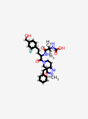 CN1N=C2CCN(C(=O)C(CCc3ccc(CO)cc3F)NC(=O)C(C)(C)NC(=O)O)CC2(Cc2ccccc2)C1=O